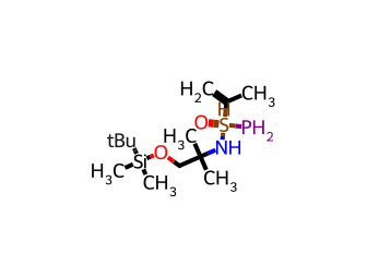 C=C(C)[SH](=O)(P)NC(C)(C)CO[Si](C)(C)C(C)(C)C